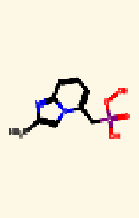 O=C(O)c1cn2c(CP(=O)(O)OO)cccc2n1